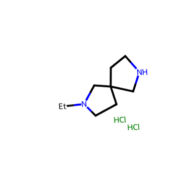 CCN1CCC2(CCNC2)C1.Cl.Cl